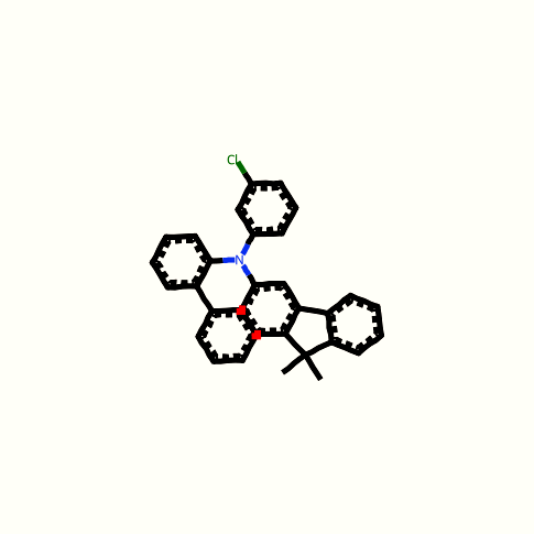 CC1(C)c2ccccc2-c2cc(N(c3cccc(Cl)c3)c3ccccc3-c3ccccc3)ccc21